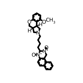 COc1cccc2c1[C@@H]1CN(CCCCC3[N+](=O)Cc4c(ccc5ccccc45)[N+]3=O)C[C@@H]1CO2